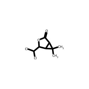 CC1(C)C2C(=O)OC(C(Cl)Cl)C21